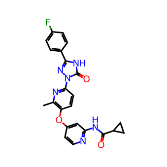 Cc1nc(-n2nc(-c3ccc(F)cc3)[nH]c2=O)ccc1Oc1ccnc(NC(=O)C2CC2)c1